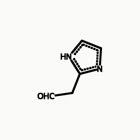 O=CCc1ncc[nH]1